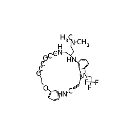 CN(C)CCC1CNCCOCCOCCOc2cccc(c2)NCC#Cc2cc3c(cccc3n2CC(F)(F)F)N1